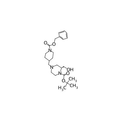 CC(C)(C)OC(=O)N1CCN(CC2CCN(C(=O)OCc3ccccc3)CC2)C[C@H]1CO